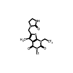 CCn1c(=O)c2c(C)c(CN3CCNC3=O)sc2n(CC(F)(F)F)c1=O